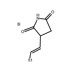 CCC=CC1CC(=O)NC1=O.[B]